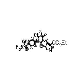 CCOC(=O)c1cnccc1CN1C(=O)N(c2ccc(S(=O)(=O)C(F)(F)F)cc2)C(=O)C1(C)C